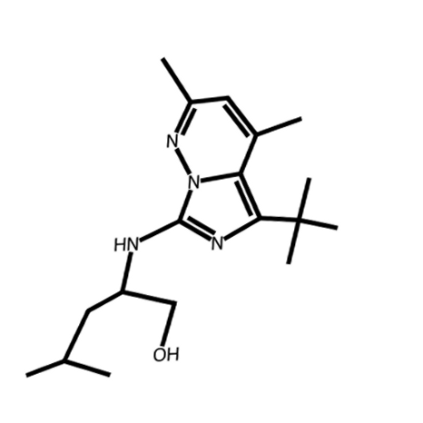 Cc1cc(C)c2c(C(C)(C)C)nc(NC(CO)CC(C)C)n2n1